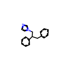 c1ccc(CC(Cn2ccnc2)c2ccccc2)cc1